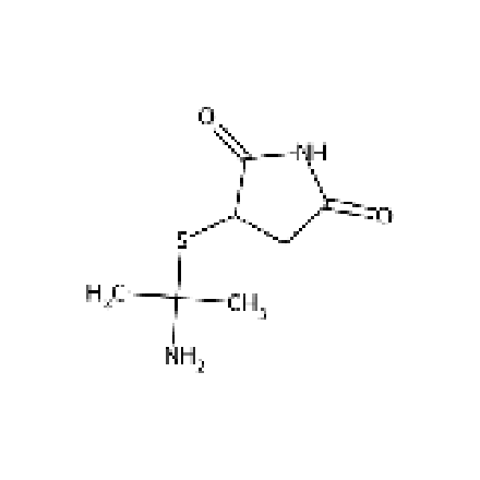 CC(C)(N)SC1CC(=O)NC1=O